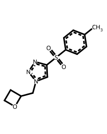 Cc1ccc(S(=O)(=O)c2cn(CC3CCO3)nn2)cc1